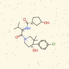 CC(C)[C@@H](NC(=O)[C@@H]1CCC(O)C1)C(=O)N1CC[C@](O)(c2ccc(Cl)cc2)C(C)(C)C1